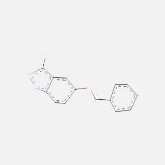 Nc1n[nH]c2ccc(OCc3ccccc3)cc12